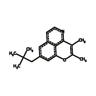 CC1=C(C)c2nccc3cc(CC(C)(C)C)cc(c23)O1